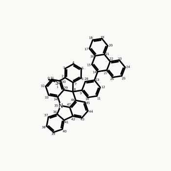 CSc1ccccc1C1(c2cccc(-c3cc4ccccc4c4ccccc34)c2)c2ccccc2-n2c3ccccc3c3cccc1c32